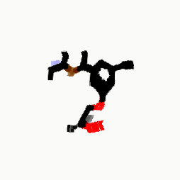 C#Cc1cc(OC[C@H](O)CC)cc(C(=C)S/C(C)=C\C)c1